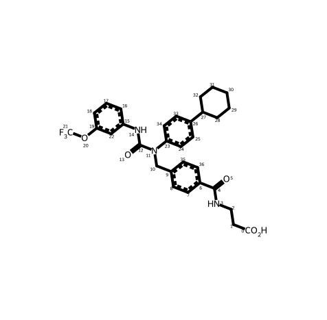 O=C(O)CCNC(=O)c1ccc(CN(C(=O)Nc2cccc(OC(F)(F)F)c2)c2ccc(C3CCCCC3)cc2)cc1